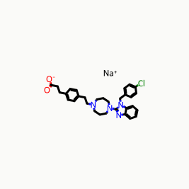 O=C([O-])CCc1ccc(CCN2CCCN(c3nc4ccccc4n3Cc3ccc(Cl)cc3)CCC2)cc1.[Na+]